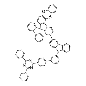 c1ccc(-c2nc(-c3ccccc3)nc(-c3ccc(-c4cccc(-n5c6ccccc6c6cc(-c7ccc8c(c7)C7(c9ccccc9-c9ccccc97)c7ccc9c(c7-8)Oc7ccccc7O9)ccc65)c4)cc3)n2)cc1